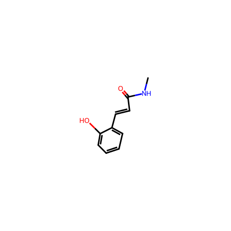 CNC(=O)/C=C/c1ccccc1O